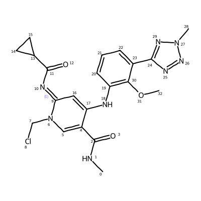 CNC(=O)c1cn(CCl)/c(=N/C(=O)C2CC2)cc1Nc1cccc(-c2nnn(C)n2)c1OC